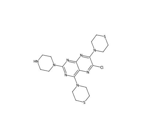 Clc1nc2c(N3CCSCC3)nc(N3CCNCC3)nc2nc1N1CCSCC1